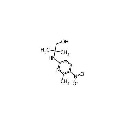 Cc1nc(NC(C)(C)CO)ccc1[N+](=O)[O-]